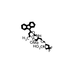 C=CCC(OC(=O)NC(COC[C@@H]1CC(F)(F)CN1C(=O)O)C(=O)OC)C1c2ccccc2-c2ccccc21